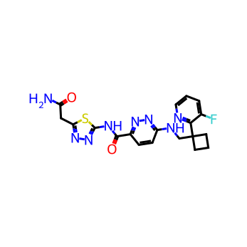 NC(=O)Cc1nnc(NC(=O)c2ccc(NCC3(c4ncccc4F)CCC3)nn2)s1